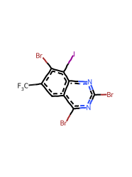 FC(F)(F)c1cc2c(Br)nc(Br)nc2c(I)c1Br